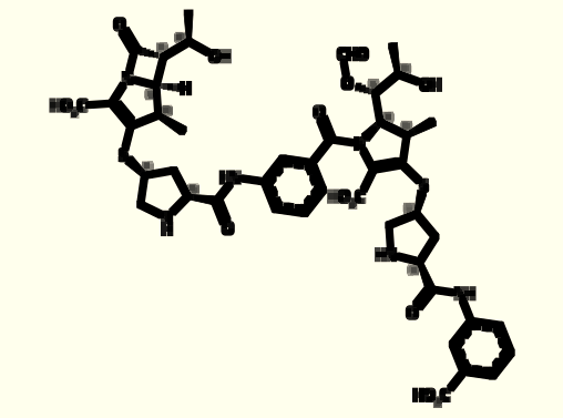 C[C@@H](O)[C@@H](OC=O)[C@H]1[C@@H](C)C(S[C@@H]2CN[C@H](C(=O)Nc3cccc(C(=O)O)c3)C2)=C(C(=O)O)N1C(=O)c1cccc(NC(=O)[C@@H]2C[C@H](SC3=C(C(=O)O)N4C(=O)[C@H]([C@@H](C)O)[C@H]4[C@H]3C)CN2)c1